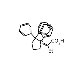 CCC(C(=O)O)=P1(c2ccccc2)CCCC1(c1ccccc1)c1ccccc1